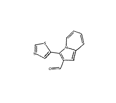 O=Cc1cc2ccccn2c1-c1cncs1